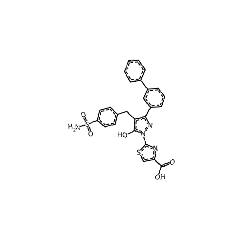 NS(=O)(=O)c1ccc(Cc2c(-c3cccc(-c4ccccc4)c3)nn(-c3nc(C(=O)O)cs3)c2O)cc1